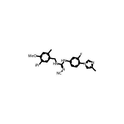 COc1cc(C)c(CN/C(=N\C#N)Nc2ccc(-n3cnc(C)c3)c(F)c2)cc1C(C)C